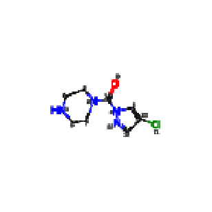 O=C(N1CCNCC1)n1cc(Cl)cn1